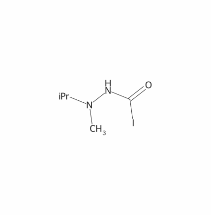 CC(C)N(C)NC(=O)I